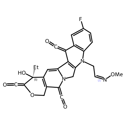 CC[C@@]1(O)C(=C=O)OCC2=C1C=C1C3=C(CN1C2=C=O)N(C/C=N\OC)c1ccc(F)cc1C3=C=O